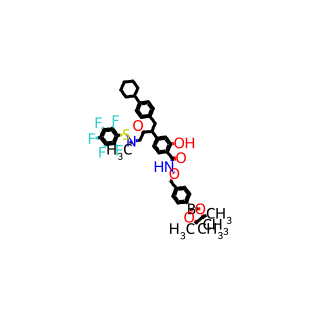 CN(CC(=O)C(Cc1ccc(C2CCCCC2)cc1)c1ccc(C(=O)NOCc2ccc(B3OC(C)(C)C(C)(C)O3)cc2)c(O)c1)Sc1c(F)c(F)c(F)c(F)c1F